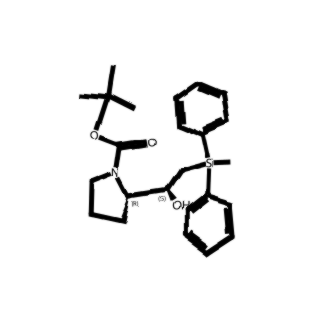 CC(C)(C)OC(=O)N1CCC[C@@H]1[C@H](O)C[Si](C)(c1ccccc1)c1ccccc1